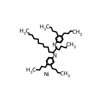 CCCCCCCCCCC(=N\c1ccc(CCCC)c(CCCC)c1)/C(CCCC)=N/c1ccc(CCCC)c(CCCC)c1.[Ni]